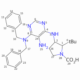 CC(C)(C)C1C(Nc2ncnc(N(Cc3ccccc3)Cc3ccccc3)c2N)CCN1C(=O)O